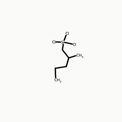 CCCC(C)C[Si](Cl)(Cl)Cl